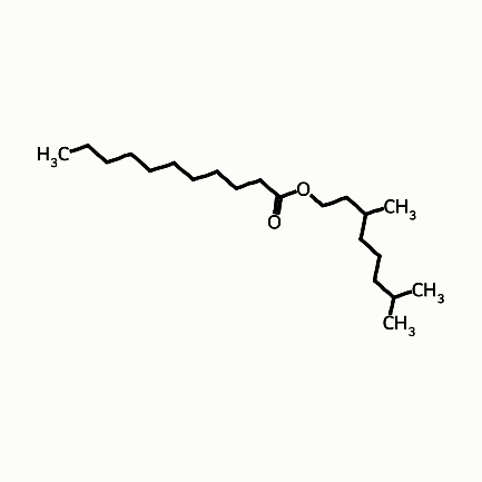 CCCCCCCCCCC(=O)OCCC(C)CCCC(C)C